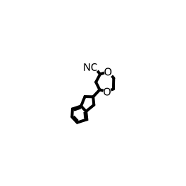 N#CC1CC(C2Cc3ccccc3C2)OCCO1